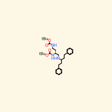 CC(C)(C)OC(=O)NCC[C@@H](CNC(CCc1ccccc1)CCc1ccccc1)NC(=O)OC(C)(C)C